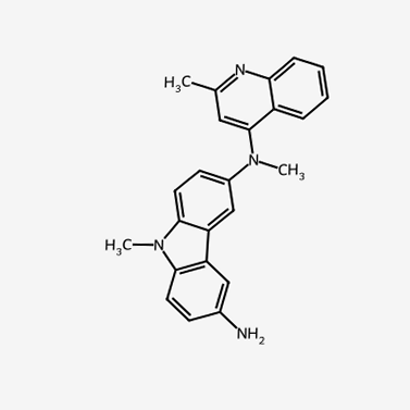 Cc1cc(N(C)c2ccc3c(c2)c2cc(N)ccc2n3C)c2ccccc2n1